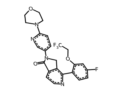 O=C1c2ccnc(-c3ccc(F)cc3OCC(F)(F)F)c2CN1c1ccc(N2CCOCC2)nc1